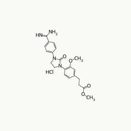 COC(=O)CCc1ccc(N2CCN(c3ccc(C(=N)N)cc3)C2=O)c(OC)c1.Cl